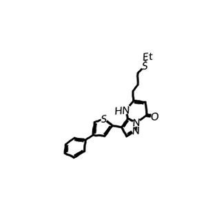 CCSCCCc1cc(=O)n2ncc(-c3cc(-c4ccccc4)cs3)c2[nH]1